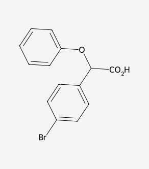 O=C(O)C(Oc1ccccc1)c1ccc(Br)cc1